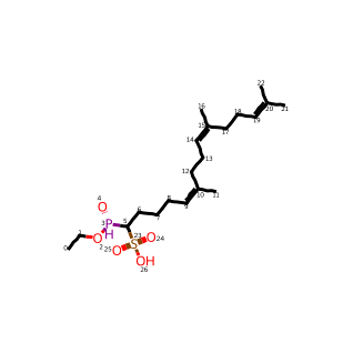 CCO[PH](=O)C(CCCC=C(C)CCC=C(C)CCC=C(C)C)S(=O)(=O)O